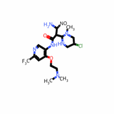 CN(C)CCOc1cc(C(F)(F)F)ncc1NC(=O)C(C(N)N=O)C1NCC(Cl)CN1C